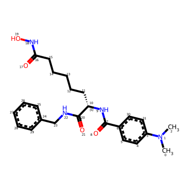 CN(C)c1ccc(C(=O)N[C@@H](CCCCCC(=O)NO)C(=O)NCc2ccccc2)cc1